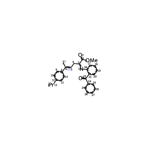 COC(=O)C(C/C=C(\I)c1ccc(C(C)C)cc1)=Nc1ccccc1C(=O)c1ccccc1